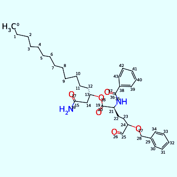 CCCCCCCCCCCCC[C@@H](CC(N)=O)OC(=O)[C@H](CCC(C=O)OCc1ccccc1)NC(=O)c1ccccc1